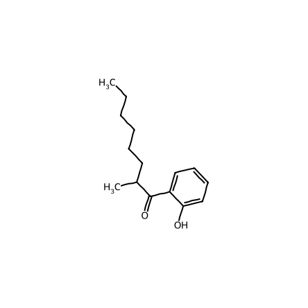 CCCCCCC(C)C(=O)c1ccccc1O